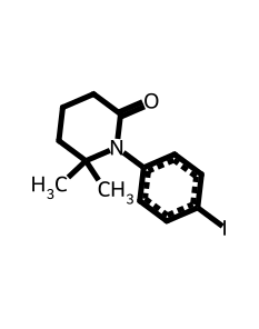 CC1(C)CCCC(=O)N1c1ccc(I)cc1